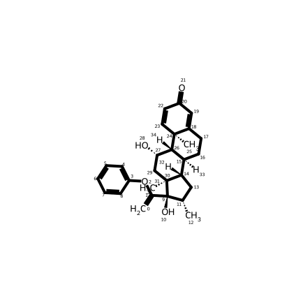 C=C(Oc1ccccc1)[C@@]1(O)[C@@H](C)C[C@H]2[C@@H]3CCC4=CC(=O)C=C[C@]4(C)[C@H]3[C@@H](O)C[C@@]21C